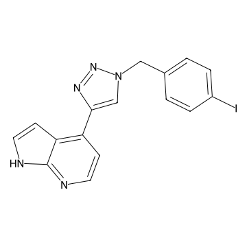 Ic1ccc(Cn2cc(-c3ccnc4[nH]ccc34)nn2)cc1